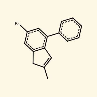 CC1=Cc2c(cc(Br)cc2-c2ccccc2)C1